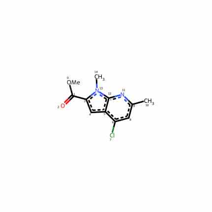 COC(=O)c1cc2c(Cl)cc(C)nc2n1C